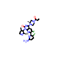 C=CC(=O)N1CCN(c2nc(=O)n(-c3c(C)ccnc3C(C)C)c3nc(-c4nc(N)ccc4F)c(F)cc23)[C@@H](C)C1